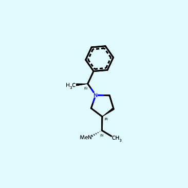 CN[C@@H](C)[C@@H]1CCN([C@@H](C)c2ccccc2)C1